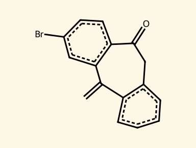 C=C1c2ccccc2CC(=O)c2ccc(Br)cc21